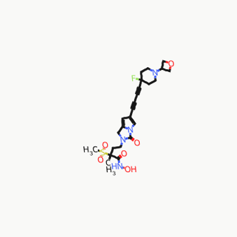 CC(CCN1Cc2cc(C#CC#CC3(F)CCN(C4COC4)CC3)cn2C1=O)(C(=O)NO)S(C)(=O)=O